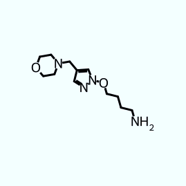 NCCCCOn1cc(CN2CCOCC2)cn1